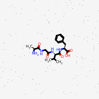 CC(C)[C@H](NC(=O)CNC(=O)[C@H](C)N)C(=O)N[C@@H](Cc1ccccc1)C(=O)O